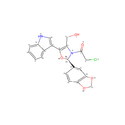 O=C(CCl)N1C(CO)=C(c2c[nH]c3ccccc23)O[C@@H]1c1ccc2c(c1)OCO2